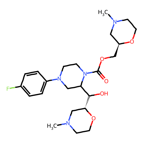 CN1CCO[C@@H](COC(=O)N2CCN(c3ccc(F)cc3)CC2C(O)[C@H]2CN(C)CCO2)C1